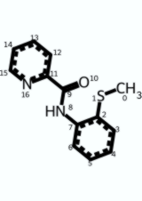 CSc1ccccc1NC(=O)c1ccccn1